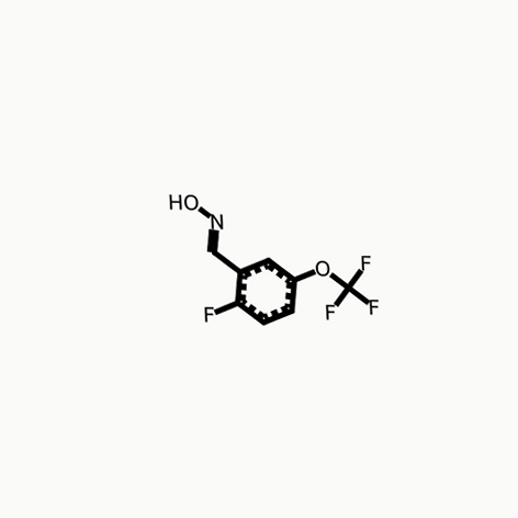 O/N=C/c1cc(OC(F)(F)F)ccc1F